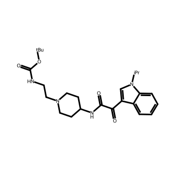 CC(C)n1cc(C(=O)C(=O)NC2CCN(CCNC(=O)OC(C)(C)C)CC2)c2ccccc21